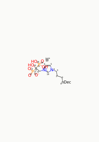 CCCCCCCCCCCCCn1cc[n+](CC(O)(P(=O)([O-])[O-])P(=O)(O)O)c1.[H+]